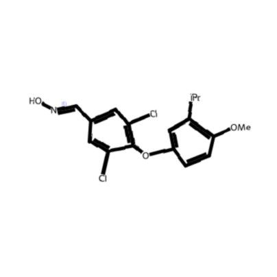 COc1ccc(Oc2c(Cl)cc(/C=N/O)cc2Cl)cc1C(C)C